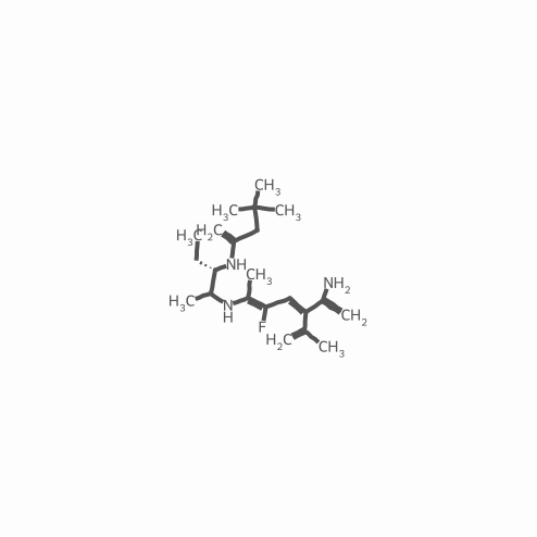 C=C(CC(C)(C)C)N[C@@H](CC)C(C)N/C(C)=C(F)/C=C(\C(=C)C)C(=C)N